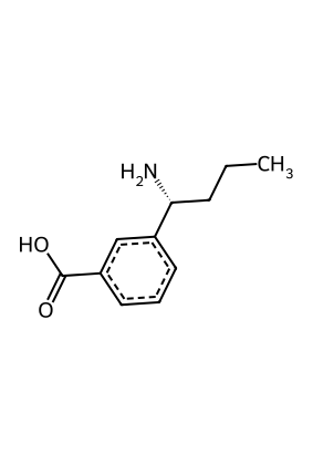 CCC[C@@H](N)c1cccc(C(=O)O)c1